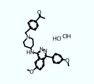 COc1ccc(-c2nnc(NC3CCN(Cc4ccc(C(C)=O)cc4)CC3)c3cc(OC)ccc23)cc1.Cl.Cl